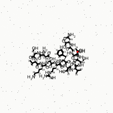 CC(C)[C@H](NC(=O)[C@H](CO)NC(=O)[C@@H](N)CC(=O)O)C(=O)N[C@@H](CCCCN)C(=O)NCC(=O)N[C@@H](CCCNC(=N)N)C(=O)N[C@@H](Cc1ccccc1)C(=O)N[C@H](C(=O)N[C@H](C(=O)N[C@@H](CO)C(=O)N[C@@H](CO)C(=O)N[C@@H](CC(=O)O)C(=O)N[C@@H](CC(N)=O)C(=O)O)C(C)C)[C@@H](C)O